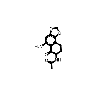 CC(=O)NC1CCc2c3c(cc(N)c2C1=O)OCO3